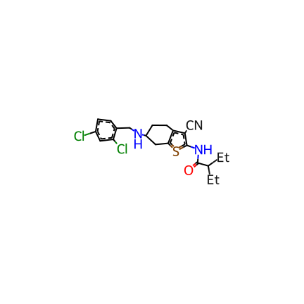 CCC(CC)C(=O)Nc1sc2c(c1C#N)CCC(NCc1ccc(Cl)cc1Cl)C2